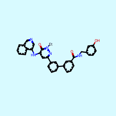 CCn1nc(-c2cccc(-c3cccc(C(=O)NCc4cccc(O)c4)c3)c2)cc(Nc2cncc3ccccc23)c1=O